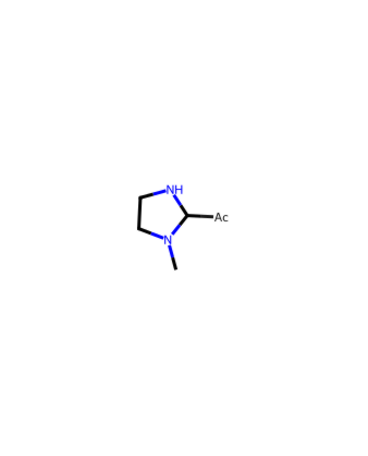 CC(=O)C1NCCN1C